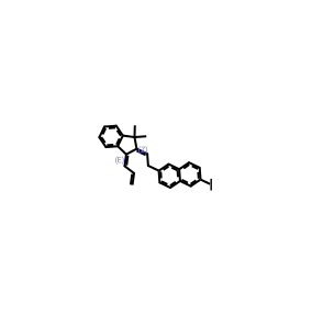 C=C/C=C1\C(=C/Cc2ccc3cc(I)ccc3c2)C(C)(C)c2ccccc21